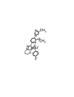 COc1nc(C2=NN3CCC[C@@H](c4cc(F)ccc4C(F)(F)F)C3N2)ccc1-n1cnc(C)c1